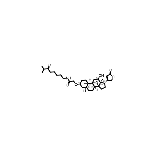 CC(C)C(=O)CCCCCNC(=O)CO[C@H]1CC[C@@]2(C)[C@H](CC[C@@H]3[C@@H]2C[C@@H](O)[C@]2(C)[C@@H](C4=CC(=O)OC4)CC[C@]32O)C1